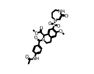 COC(=O)C1c2cc(S(=O)(=O)N3CCCNC(=O)C3)c(OC)cc2CCN1C(=O)c1ccc(NC(C)=O)cc1